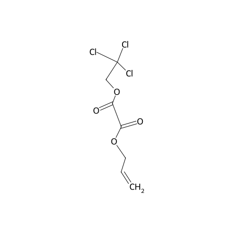 C=CCOC(=O)C(=O)OCC(Cl)(Cl)Cl